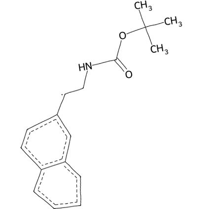 CC(C)(C)OC(=O)NC[CH]c1ccc2ccccc2c1